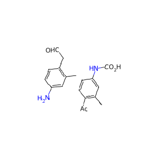 CC(=O)c1ccc(NC(=O)O)cc1C.Cc1cc(N)ccc1CC=O